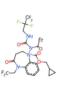 CCC(=O)N(C(=O)NCC(F)(F)C(F)(F)F)[N+]1(C(=O)OCC2CC2)CCC(=O)N(CC(F)(F)F)c2ccccc21